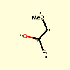 CCC([O])COC